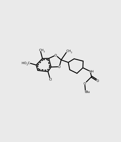 Cc1c(C(=O)O)cc(Cl)c2c1OC(C)(C1CCC(NC(=O)OC(C)(C)C)CC1)O2